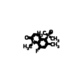 Cc1cc(F)c2c(ccc(=O)n2C)c1P(C)(C)=O